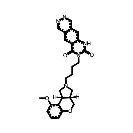 COc1cccc2c1[C@@H]1CN(CCCCn3c(=O)[nH]c4cc5cnncc5cc4c3=O)C[C@@H]1CO2